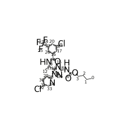 CCCCOC(=O)Nc1nc(C(C)NC(=O)c2cc(Cl)cc(C(F)(F)F)c2)n(-c2ccc(Cl)cn2)n1